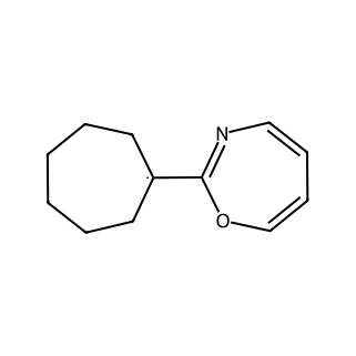 C1=CN=C([C]2CCCCCC2)OC=C1